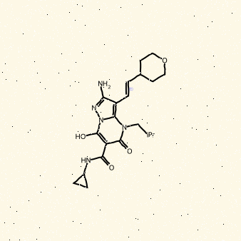 CC(C)Cn1c(=O)c(C(=O)NC2CC2)c(O)n2nc(N)c(/C=C/C3CCOCC3)c12